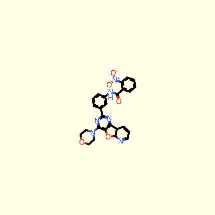 O=C(Nc1cccc(-c2nc3c(c(N4CCOCC4)n2)OC2N=CC=CC32)c1)c1ccccc1[N+](=O)[O-]